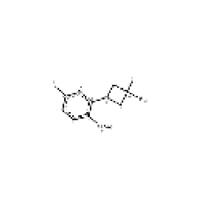 COc1cnc(Cl)nc1N1CC(F)(F)C1